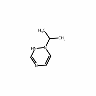 CC(C)N1C=CN=CN1